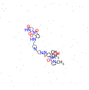 Cc1cccc(C(=O)Nc2cc3sc(N4CCC(CN5CCC(CCNc6cccc7c6C(=O)N(C6CCC(=O)NC6=O)C7=O)CC5)CC4)nc3cc2C(C)(C)O)n1